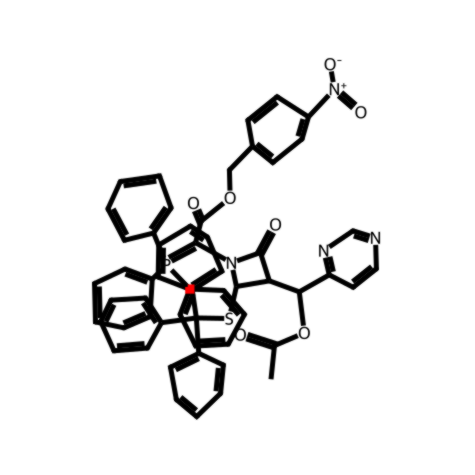 CC(=O)OC(c1ccncn1)C1C(=O)N(C(C(=O)OCc2ccc([N+](=O)[O-])cc2)=P(c2ccccc2)(c2ccccc2)c2ccccc2)C1SC(c1ccccc1)(c1ccccc1)c1ccccc1